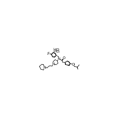 CC(C)COc1ccc(CC(=O)N(Cc2ccc(F)cc2)C2CCN(CCCN3CCCCC3)CC2)cc1.Cl.Cl